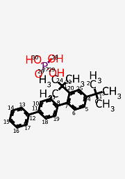 CC(C)(C)c1ccc(-c2ccc(-c3ccccc3)cc2)c(C(C)(C)C)c1.O=P(O)(O)O